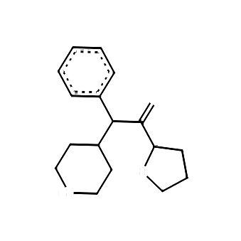 O=C(C1CCCN1)C(c1ccccc1)C1CCNCC1